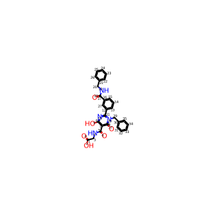 O=C(O)CNC(=O)c1c(O)nc(-c2cccc(C(=O)NCc3ccccc3)c2)n(Cc2ccccc2)c1=O